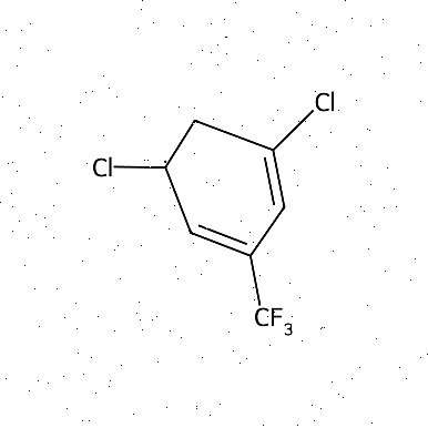 FC(F)(F)C1=C[C](Cl)CC(Cl)=C1